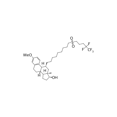 COc1ccc2c(c1)CC[C@@H]1[C@@H]2[C@@H](CCCCCCCCCS(=O)(=O)CCCC(F)(F)C(F)(F)F)C[C@]2(C)[C@@H](O)CC[C@@H]12